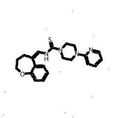 S=C(N/C=C1/CCCOc2ccccc21)N1CCN(c2ccccn2)CC1